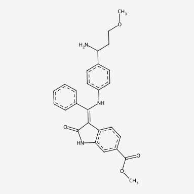 COCCC(N)c1ccc(NC(=C2C(=O)Nc3cc(C(=O)OC)ccc32)c2ccccc2)cc1